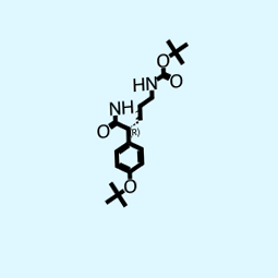 CC(C)(C)OC(=O)NCCC[C@@H](C(N)=O)c1ccc(OC(C)(C)C)cc1